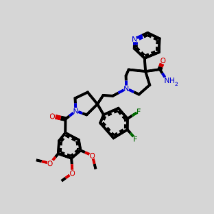 COc1cc(C(=O)N2CCC(CCN3CCC(C(N)=O)(c4cccnc4)CC3)(c3ccc(F)c(F)c3)C2)cc(OC)c1OC